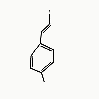 Cc1ccc(/C=C/I)cc1